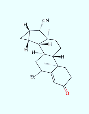 CCC1C[C@H]2[C@@H]3[C@@H]4C[C@@H]4[C@H](C#N)[C@@]3(C)CC[C@@H]2[C@@]2(C)CCC(=O)C=C12